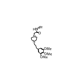 COc1cc(CCCN2CCN(CC(=O)NC(C)C)CC2)cc(OC)c1OC